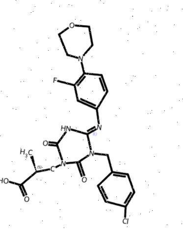 C[C@@H](Cn1c(=O)[nH]/c(=N\c2ccc(N3CCOCC3)c(F)c2)n(Cc2ccc(Cl)cc2)c1=O)C(=O)O